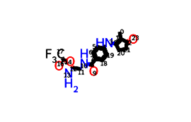 CC1=C(Nc2ccc(C(=O)NCC(N)OC(=O)C(F)(F)F)cc2)CCC1=O